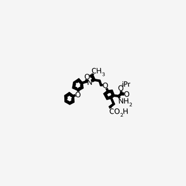 Cc1oc(-c2cccc(Oc3ccccc3)c2)nc1CCOc1ccc(CCC(=O)O)c(C(N)C(=O)OC(C)C)c1